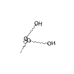 CCCCC=Cc1ccc(OCCCCCCCCCCCO)c(OCCCCCCCCCCCO)c1